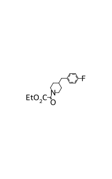 CCOC(=O)C(=O)N1CCC(Cc2ccc(F)cc2)CC1